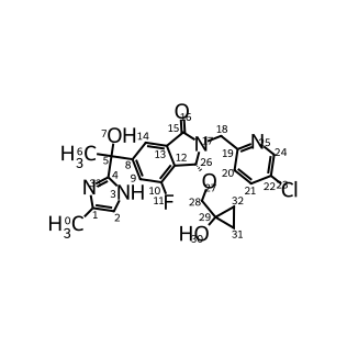 Cc1c[nH]c(C(C)(O)c2cc(F)c3c(c2)C(=O)N(Cc2ccc(Cl)cn2)[C@@H]3OCC2(O)CC2)n1